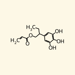 C=CC(=O)OCC(CC)c1cc(O)c(O)c(O)c1